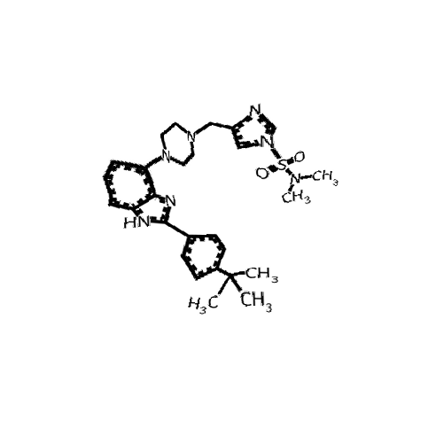 CN(C)S(=O)(=O)n1cnc(CN2CCN(c3cccc4[nH]c(-c5ccc(C(C)(C)C)cc5)nc34)CC2)c1